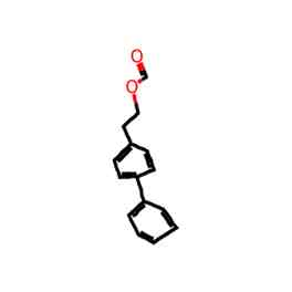 O=COCCc1ccc(-c2ccccc2)cc1